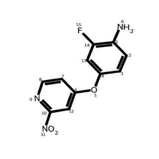 Nc1ccc(Oc2ccnc([N+](=O)[O-])c2)cc1F